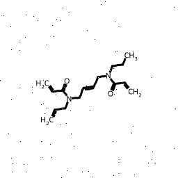 C=CCN(C/C=C/CN(CCC)C(=O)C=C)C(=O)C=C